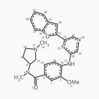 COc1cc(C(=O)N(C)C2CCN(C)C2)ccc1Nc1cncc(-c2cc3ccccc3o2)n1